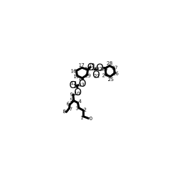 CCCCCC(CCC)COC(=O)OC1CCCC(OC(=O)OC2CCCCC2)C1